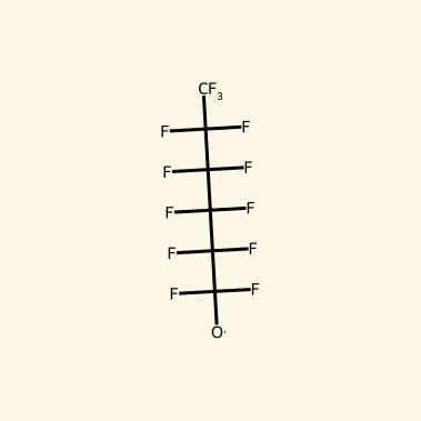 [O]C(F)(F)C(F)(F)C(F)(F)C(F)(F)C(F)(F)C(F)(F)F